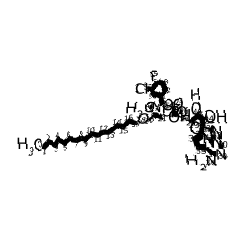 CCCCCCCCCCCCCCCCCCOC[C@H](COP(=O)(O)OC[C@H]1O[C@@](C#N)(c2ccc3c(N)ncnn23)[C@H](O)[C@@H]1O)N(C)C(=O)c1ccc(F)c(Cl)c1